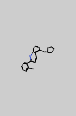 Cc1ccccc1-c1ccc2c(CC3CCCC3)cccc2n1